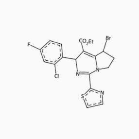 CCOC(=O)C1=C2C(Br)CCN2C(c2nccs2)=NC1c1ccc(F)cc1Cl